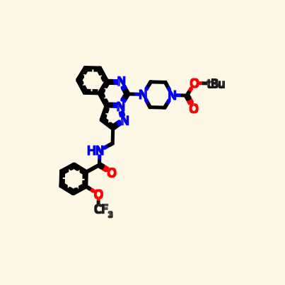 CC(C)(C)OC(=O)N1CCN(c2nc3ccccc3c3cc(CNC(=O)c4ccccc4OC(F)(F)F)nn23)CC1